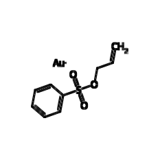 C=CCOS(=O)(=O)c1ccccc1.[Au]